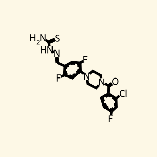 NC(=S)N/N=C/c1cc(F)c(N2CCN(C(=O)c3ccc(F)cc3Cl)CC2)cc1F